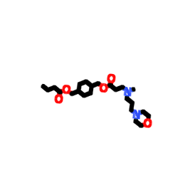 CCCC(=O)OCC1CCC(COC(=O)CCN(C)CCCN2CCOCC2)CC1